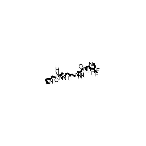 O=C(Cc1ccccn1)Nc1cn(CC(F)CCn2cc(C(=O)NCc3cc(C(F)(F)F)ccn3)nn2)nn1